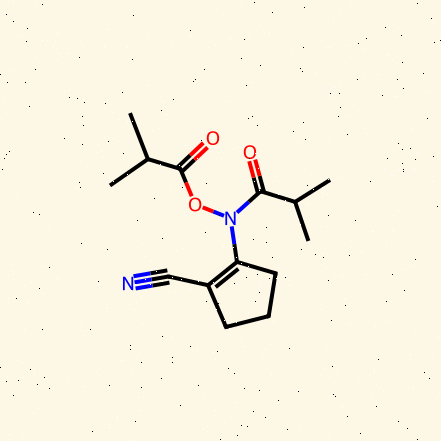 CC(C)C(=O)ON(C(=O)C(C)C)C1=C(C#N)CCC1